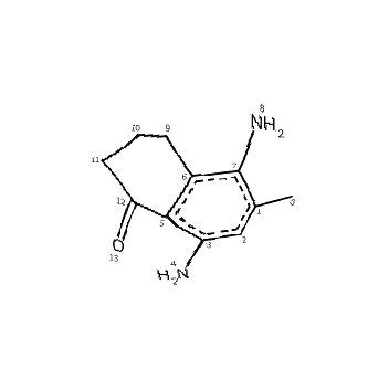 Cc1cc(N)c2c(c1N)CCCC2=O